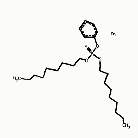 CCCCCCCCCOP(=S)(Oc1ccccc1)SCCCCCCCCC.[Zn]